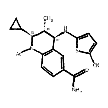 CC(=O)N1c2ccc(C(N)=O)cc2[C@H](Nc2ccc(C#N)s2)[C@@H](C)[C@@H]1C1CC1